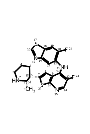 C[C@@H]1NCCC[C@@H]1c1cc2c(Nc3cc4ncsc4cc3F)c(F)cnc2s1